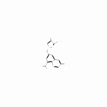 CCOC(=O)c1cn(Cc2cc(C(N)O)c3ncc(C)cc3c2)nc1C#N